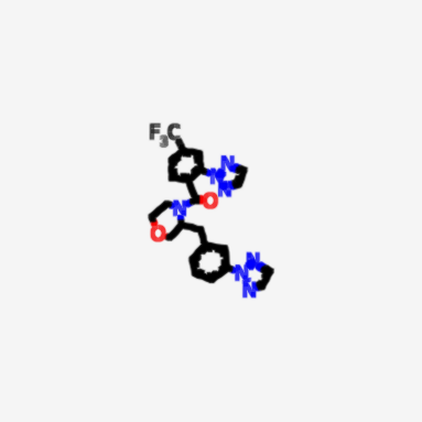 O=C(c1ccc(C(F)(F)F)cc1-n1nccn1)N1CCOCC1Cc1cccc(-n2nccn2)c1